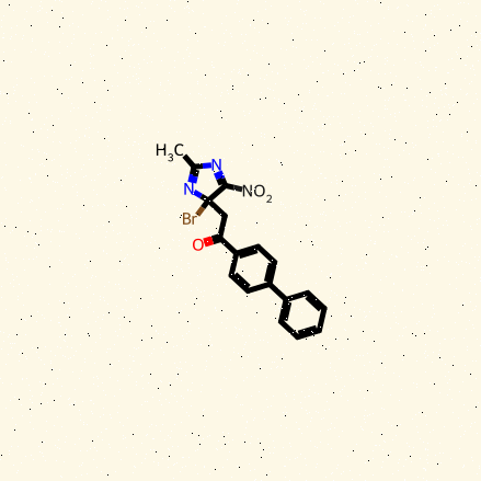 CC1=NC(Br)(CC(=O)c2ccc(-c3ccccc3)cc2)C([N+](=O)[O-])=N1